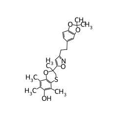 Cc1c(C)c2c(c(C)c1O)SCC(C)(c1cc(CCc3ccc4c(c3)OC(C)(C)O4)no1)O2